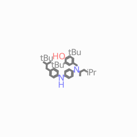 CC(C)CC(C)N(Cc1cc(C(C)(C)C)c(O)c(C(C)(C)C)c1)c1ccc(Nc2ccc(CC(C)CC(C)(C)C)cc2)cc1